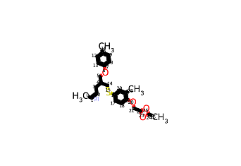 C/C=C\CC(COc1ccc(C)cc1)CSc1ccc(OCC2OC(C)O2)c(C)c1